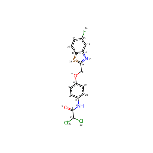 O=C(Nc1ccc(OCc2nc3cc(F)ccc3s2)cc1)C(Cl)Cl